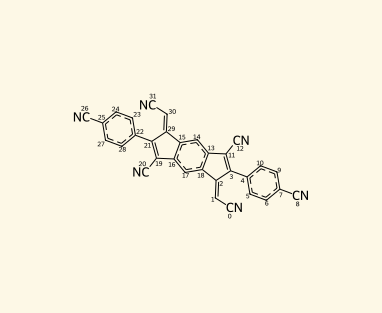 N#C/C=C1\C(c2ccc(C#N)cc2)=C(C#N)c2cc3c(cc21)C(C#N)=C(c1ccc(C#N)cc1)/C3=C\C#N